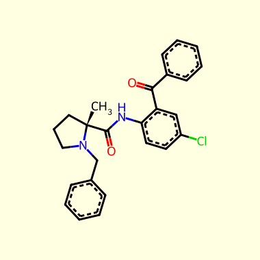 C[C@]1(C(=O)Nc2ccc(Cl)cc2C(=O)c2ccccc2)CCCN1Cc1ccccc1